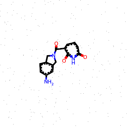 Nc1ccc2c(c1)CN(C(=O)c1cccc(=O)[nH]c1=O)C2